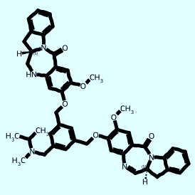 COc1cc2c(cc1OCc1cc(COc3cc4c(cc3OC)C(=O)N3c5ccccc5C[C@H]3CN4)cc(CN(C)C(C)C)c1)N=C[C@@H]1Cc3ccccc3N1C2=O